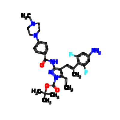 C=Cc1c(/C=C(\C)c2c(F)cc(N)cc2F)c(NC(=O)c2ccc(N3CCN(C)CC3)cc2)nn1C(=O)OC(C)(C)C